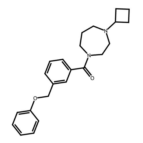 O=C(c1cccc(COc2ccccc2)c1)N1CCCN(C2CCC2)CC1